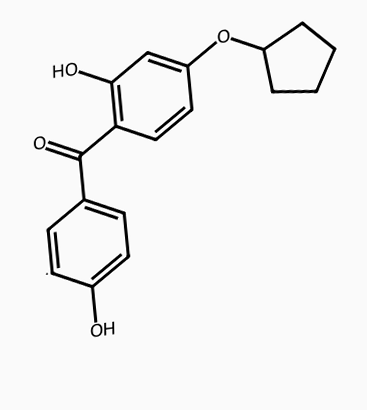 O=C(c1c[c]c(O)cc1)c1ccc(OC2CCCC2)cc1O